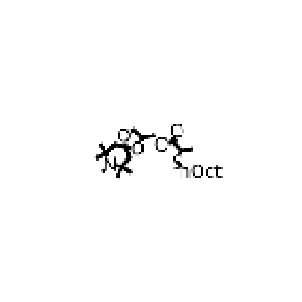 CCCCCCCCSC(C)C(=O)OCC1COC2(CC(C)(C)N(C)C(C)(C)C2)O1